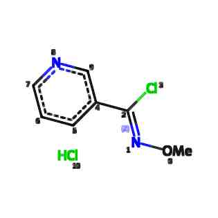 CO/N=C(\Cl)c1cccnc1.Cl